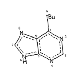 CC(C)(C)c1ncnc2[nH]cnc12